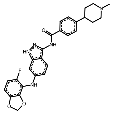 CN1CCC(c2ccc(C(=O)Nc3n[nH]c4cc(Nc5c(F)ccc6c5OCO6)ccc34)cc2)CC1